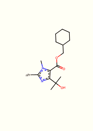 CCCc1nc(C(C)(C)O)c(C(=O)OCC2CCCCC2)n1C